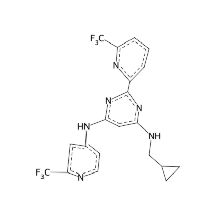 FC(F)(F)c1cc(Nc2cc(NCC3CC3)nc(-c3cccc(C(F)(F)F)n3)n2)ccn1